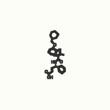 Cc1nc2c(OCC3CCCCC3)cccn2c1C(=O)N[C@@H](C=CC(=O)O)c1ccccc1